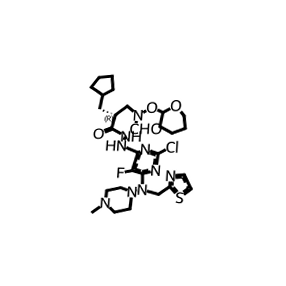 CN1CCN(N(Cc2nccs2)c2nc(Cl)nc(NNC(=O)[C@H](CC3CCCC3)CN(C=O)OC3CCCCO3)c2F)CC1